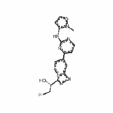 CC(C)C[C@H](O)c1nnc2cc(-c3ccnc(Nc4ccnn4C)n3)ccn12